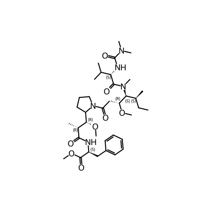 CC[C@H](C)[C@@H]([C@@H](CC(=O)N1CCCC1[C@H](OC)[C@@H](C)C(=O)N[C@@H](Cc1ccccc1)C(=O)OC)OC)N(C)C(=O)[C@@H](NC(=O)N(C)C)C(C)C